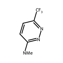 CNc1ccc(C(F)(F)F)nn1